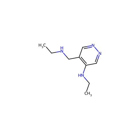 CCNCc1cnncc1NCC